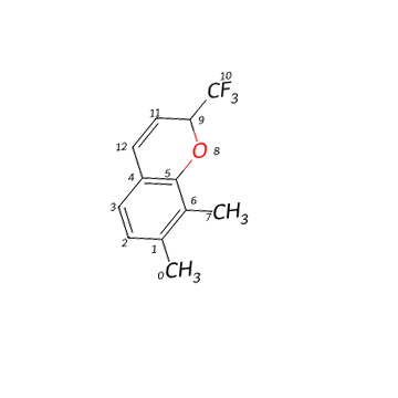 Cc1ccc2c(c1C)OC(C(F)(F)F)C=C2